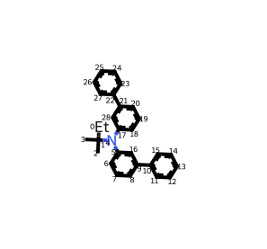 CCC(C)(C)N(c1cccc(-c2ccccc2)c1)c1cccc(-c2ccccc2)c1